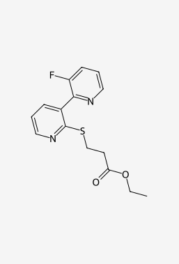 CCOC(=O)CCSc1ncccc1-c1ncccc1F